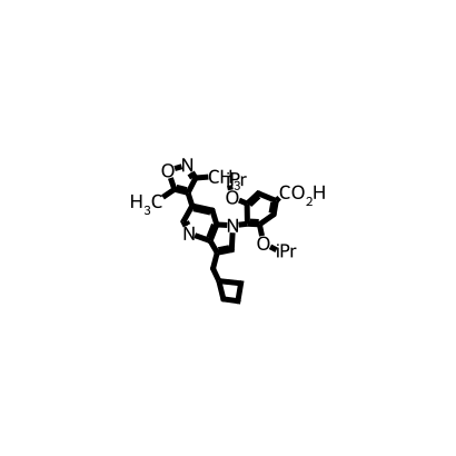 Cc1noc(C)c1-c1cnc2c(CC3CCC3)cn(-c3c(OC(C)C)cc(C(=O)O)cc3OC(C)C)c2c1